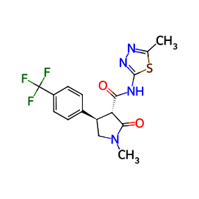 Cc1nnc(NC(=O)[C@@H]2C(=O)N(C)C[C@H]2c2ccc(C(F)(F)F)cc2)s1